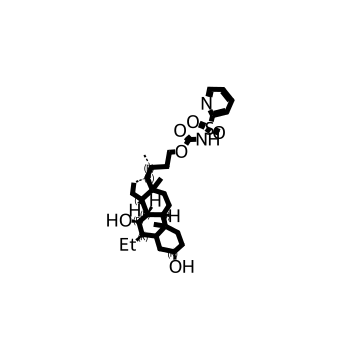 CC[C@@H]1C2C[C@H](O)CCC2(C)[C@H]2CCC3(C)[C@@H]([C@H](C)CCOC(=O)NS(=O)(=O)c4ccccn4)CC[C@H]3[C@H]2[C@@H]1O